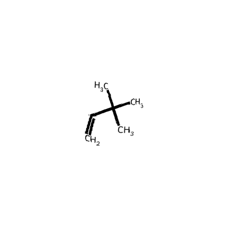 C=[C]C(C)(C)C